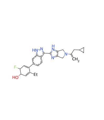 C=C(CC1CC1)N1Cc2nc(-c3n[nH]c4cc(C5=CC(F)C(O)C=C5CC)ccc34)[nH]c2C1